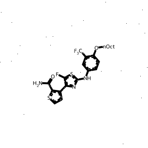 CCCCCCCCOc1ccc(Nc2nc(-c3ccsc3C(N)=O)c(F)s2)cc1C(F)(F)F